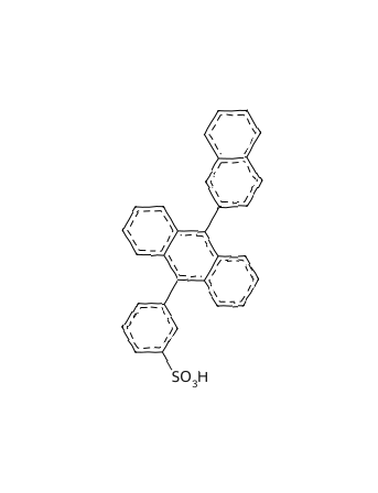 O=S(=O)(O)c1cccc(-c2c3ccccc3c(-c3ccc4ccccc4c3)c3ccccc23)c1